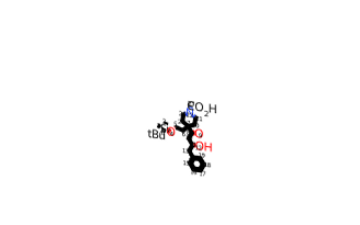 CC(C)(C)[Si](C)(C)OCCC1(C(=O)CC(O)Cc2ccccc2)CCN(C(=O)O)CC1